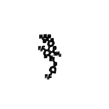 NC(=O)c1c(N2CC(Oc3ccc(C(F)(F)F)cc3)C2)ncc(C(F)(F)F)c1-c1ccnc(S(N)(=O)=O)c1